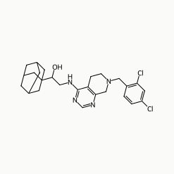 OC(CNc1ncnc2c1CCN(Cc1ccc(Cl)cc1Cl)C2)C12CC3CC(CC(C3)C1)C2